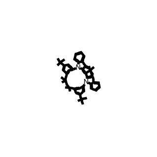 CC(C)(C)c1cc2cc(c1)C(C)(C)CC(C)(C)c1cc(cc(C(C)(C)C)c1)-n1c3ccccc3c3cc4c5ccccc5n-2c4c(C(C)(C)C)c31